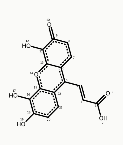 O=C(O)/C=C/c1c2ccc(=O)c(O)c-2oc2c(O)c(O)ccc12